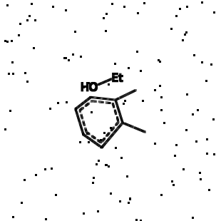 CCO.Cc1ccccc1C